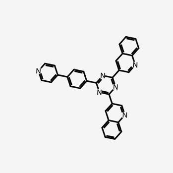 c1ccc2ncc(-c3nc(-c4ccc(-c5ccncc5)cc4)nc(-c4cnc5ccccc5c4)n3)cc2c1